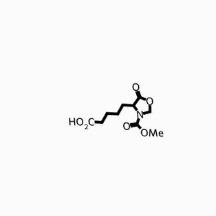 COC(=O)N1COC(=O)C1CCCCC(=O)O